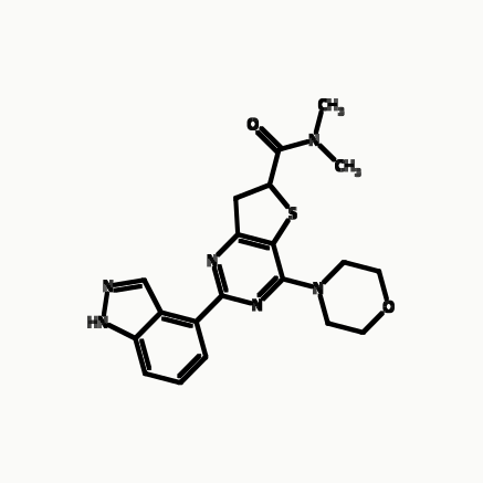 CN(C)C(=O)C1Cc2nc(-c3cccc4[nH]ncc34)nc(N3CCOCC3)c2S1